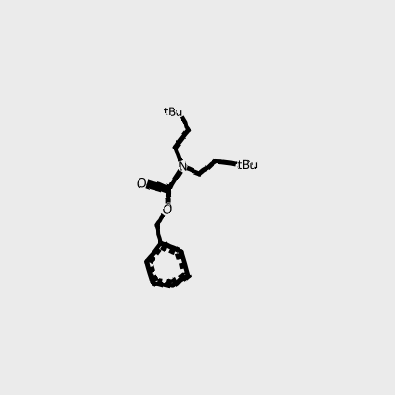 CC(C)(C)CCN(CCC(C)(C)C)C(=O)OCc1ccccc1